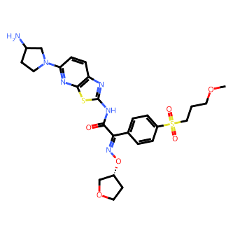 COCCCS(=O)(=O)c1ccc(/C(=N\O[C@@H]2CCOC2)C(=O)Nc2nc3ccc(N4CCC(N)C4)nc3s2)cc1